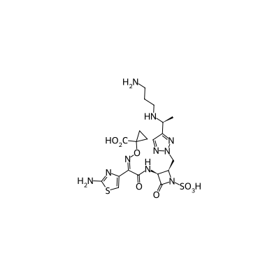 C[C@H](NCCCN)c1cnn(C[C@@H]2[C@H](NC(=O)C(=NOC3(C(=O)O)CC3)c3csc(N)n3)C(=O)N2S(=O)(=O)O)n1